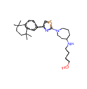 CC1(C)CCC(C)(C)c2cc(-c3csc(N4CCCC(NCCCCO)CC4)n3)ccc21